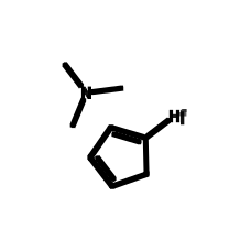 CN(C)C.[Hf][C]1=CC=CC1